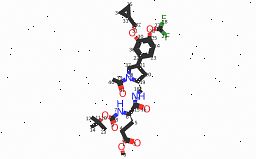 COC(=O)CC[C@H](NC(=O)OC(C)(C)C)C(=O)NC[C@H]1CC(c2ccc(OC(F)F)c(OCC3CC3)c2)CN1C(C)=O